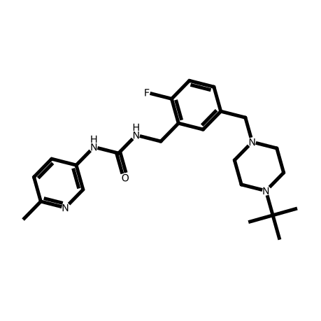 Cc1ccc(NC(=O)NCc2cc(CN3CCN(C(C)(C)C)CC3)ccc2F)cn1